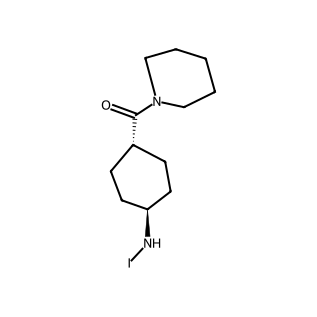 O=C([C@H]1CC[C@H](NI)CC1)N1CCCCC1